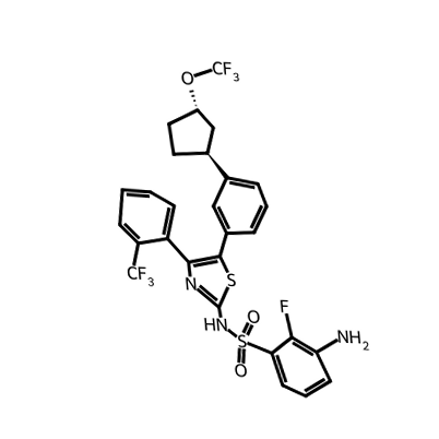 Nc1cccc(S(=O)(=O)Nc2nc(-c3ccccc3C(F)(F)F)c(-c3cccc([C@H]4CC[C@H](OC(F)(F)F)C4)c3)s2)c1F